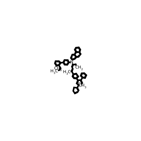 C=C/C(=C\C=C(/C)c1ccc(C(=C/C(C)C2=CC=CCC2)/C(=C\CC)c2ccccc2)cc1)N(c1ccc(-c2cccc(C)c2/C=C\C)cc1)c1ccc2c(ccc3ccccc32)c1